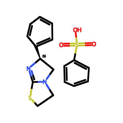 O=S(=O)(O)c1ccccc1.c1ccc([C@H]2CN3CCSC3=N2)cc1